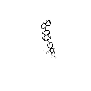 C[C@@H]1OCC2(CCN(c3cnc4nc(N5CCCc6ncccc65)ccc4n3)CC2)[C@@H]1N